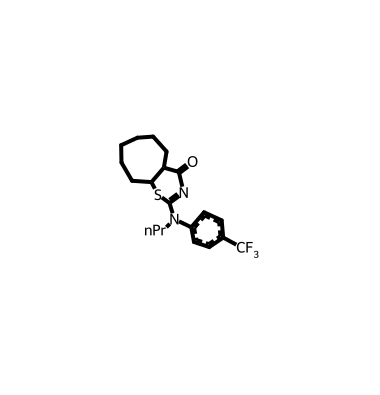 CCCN(C1=NC(=O)C2CCCCCCC2S1)c1ccc(C(F)(F)F)cc1